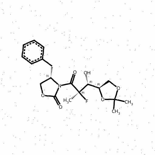 CC1(C)OC[C@H]([C@@H](O)[C@@](C)(F)C(=O)N2C(=O)OC[C@@H]2Cc2ccccc2)O1